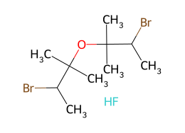 CC(Br)C(C)(C)OC(C)(C)C(C)Br.F